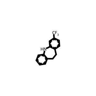 FC(F)(F)c1ccc2c(c1)Nc1ccccc1CC2